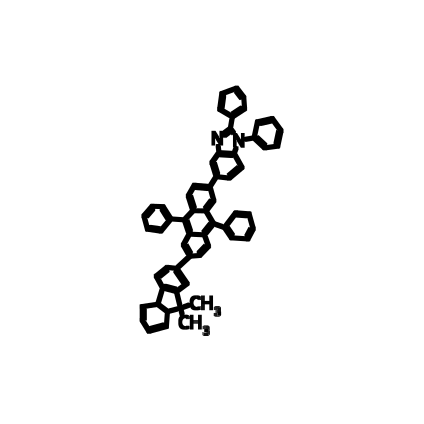 CC1(C)c2cc(-c3ccc4c(-c5ccccc5)c5cc(-c6ccc7c(c6)nc(-c6ccccc6)n7-c6ccccc6)ccc5c(-c5ccccc5)c4c3)ccc2C2C=CC=CC21